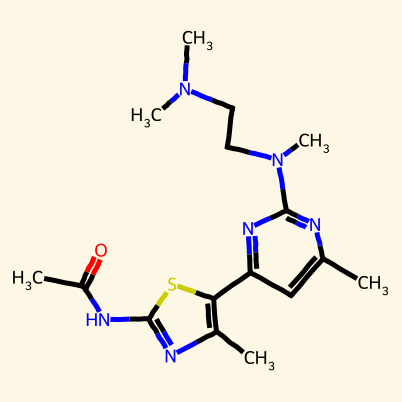 CC(=O)Nc1nc(C)c(-c2cc(C)nc(N(C)CCN(C)C)n2)s1